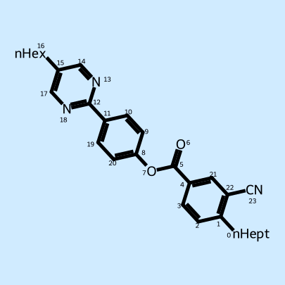 CCCCCCCc1ccc(C(=O)Oc2ccc(-c3ncc(CCCCCC)cn3)cc2)cc1C#N